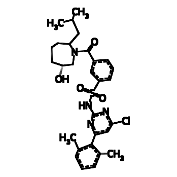 Cc1cccc(C)c1-c1cc(Cl)nc(NS(=O)(=O)c2cccc(C(=O)N3C[C@H](O)CCCC3CC(C)C)c2)n1